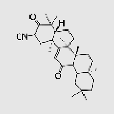 [C-]#[N+]C1C[C@]2(C)C3=CC(=O)C4C5CC(C)(C)CC[C@]5(C)CC[C@@]4(C)[C@]3(C)CC[C@H]2C(C)(C)C1=O